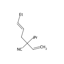 C=CC(C#N)(CC=CCC)C(C)C